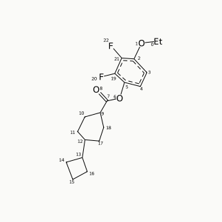 CCOc1ccc(OC(=O)C2CCC(C3CCC3)CC2)c(F)c1F